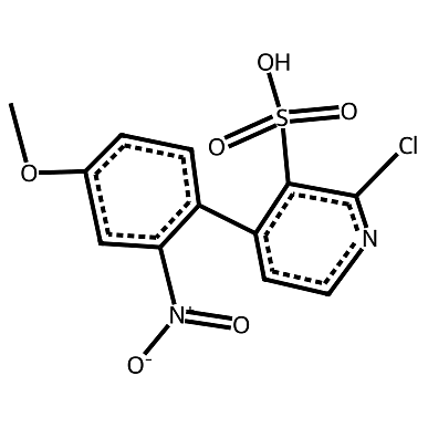 COc1ccc(-c2ccnc(Cl)c2S(=O)(=O)O)c([N+](=O)[O-])c1